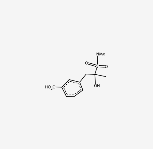 CNS(=O)(=O)C(C)(O)Cc1cccc(C(=O)O)c1